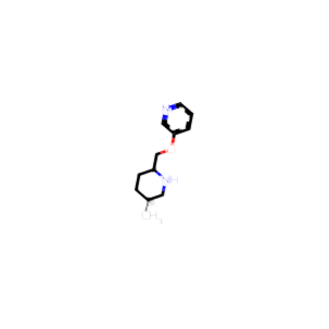 C[C@H]1CCC(COc2cccnc2)NC1